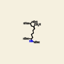 CCCCCCCCCCNC(CCCCC=C(CC(CCCCCC)CCCCCCCC)C(=O)O)CCCCCCCCCC